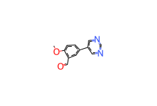 COc1ccc(-c2cncnc2)cc1C=O